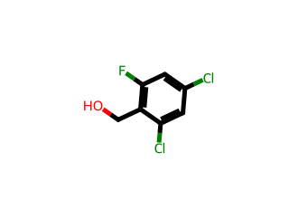 OCc1c(F)cc(Cl)cc1Cl